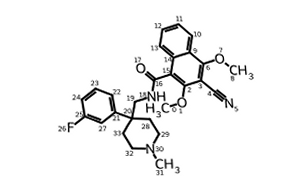 COc1c(C#N)c(OC)c2ccccc2c1C(=O)NCC1(c2cccc(F)c2)CCN(C)CC1